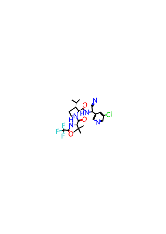 CC(C)[C@H]1CCN(C(=O)[C@@H](NC(=O)C(F)(F)F)C(C)(C)C)[C@@H]1C(=O)NC(C#N)c1cncc(Cl)c1